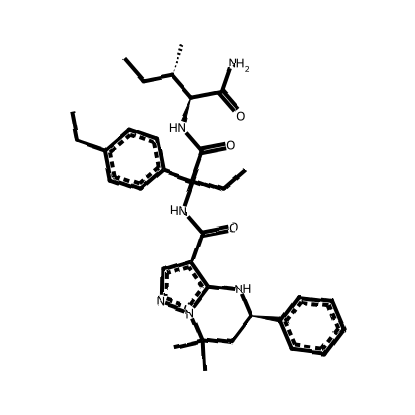 CCc1ccc(C(CC)(NC(=O)c2cnn3c2N[C@@H](c2ccccc2)CC3(C)C)C(=O)N[C@H](C(N)=O)[C@@H](C)CC)cc1